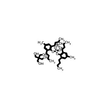 CCCCc1cc(C)cc(CCCC)c1OP(=O)(Oc1c(CCCC)cc(C)cc1CCCC)OP(=O)(O)O.OCC(CO)(CO)CO